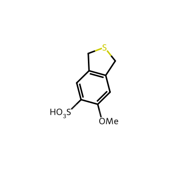 COc1cc2c(cc1S(=O)(=O)O)CSC2